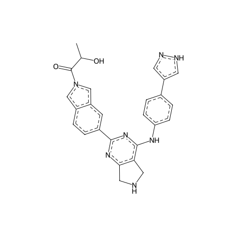 CC(O)C(=O)n1cc2ccc(-c3nc4c(c(Nc5ccc(-c6cn[nH]c6)cc5)n3)CNC4)cc2c1